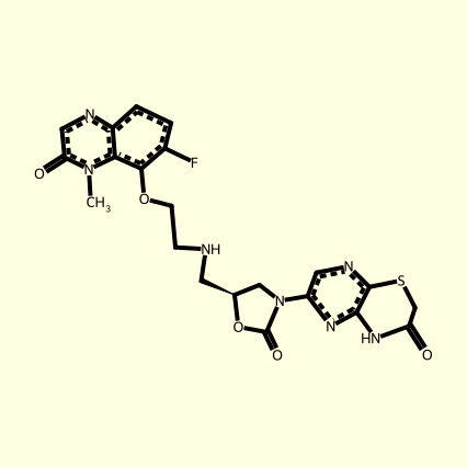 Cn1c(=O)cnc2ccc(F)c(OCCNC[C@H]3CN(c4cnc5c(n4)NC(=O)CS5)C(=O)O3)c21